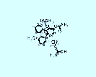 C.CCC.NC(=S)Oc1cnc(-c2ccccc2)c(-c2ccccc2S(N)(=O)=O)c1.NC(O)=S.O